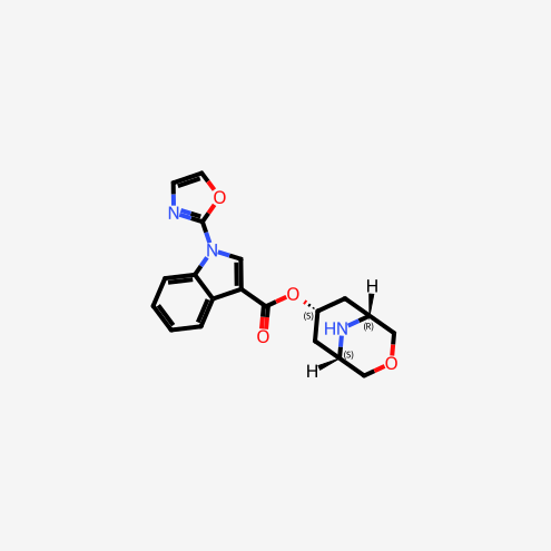 O=C(O[C@H]1C[C@H]2COC[C@@H](C1)N2)c1cn(-c2ncco2)c2ccccc12